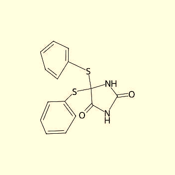 O=C1NC(=O)C(Sc2ccccc2)(Sc2ccccc2)N1